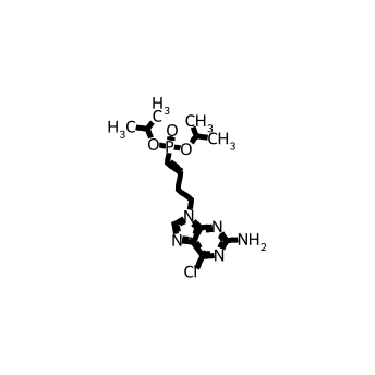 CC(C)OP(=O)(C=CCCn1cnc2c(Cl)nc(N)nc21)OC(C)C